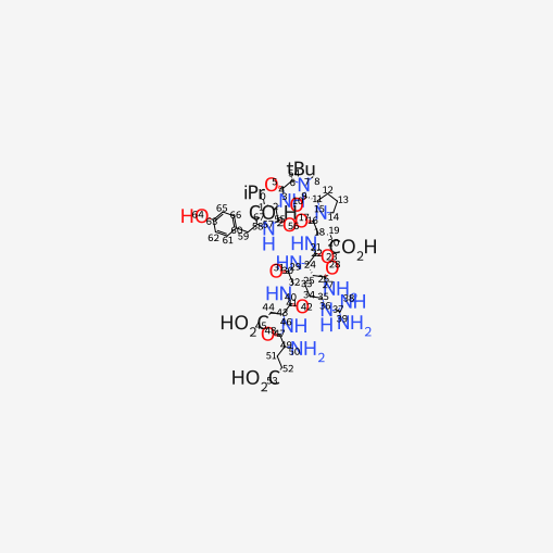 CC(C)C[C@H](NC(=O)[C@@H](N(C)C(=O)[C@@H]1CCCN1C(=O)[C@H](CC(=O)O)NC(=O)[C@H](CC(N)=O)NC(=O)[C@H](CCCNC(=N)N)NC(=O)[C@H](CC(=O)O)NC(=O)[C@@H](N)CCC(=O)O)C(C)(C)C)C(=O)N[C@@H](Cc1ccc(O)cc1)C(=O)O